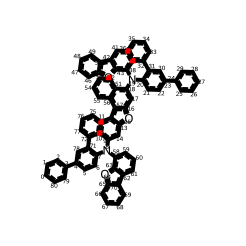 c1ccc(-c2ccc(N(c3ccc4c(c3)oc3cc(N(c5ccc(-c6ccccc6)cc5-c5ccccc5)c5cccc6c5oc5ccccc56)c5ccccc5c34)c3cccc4c3oc3ccccc34)c(-c3ccccc3)c2)cc1